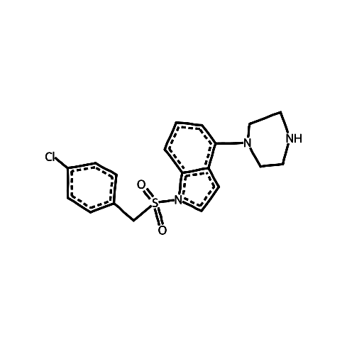 O=S(=O)(Cc1ccc(Cl)cc1)n1ccc2c(N3CCNCC3)cccc21